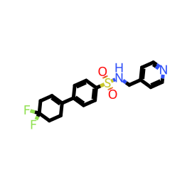 O=S(=O)(NCc1ccncc1)c1ccc(C2=CCC(F)(F)CC2)cc1